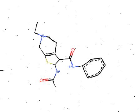 CCN1CCC2=C(C1)SC(NC(C)=O)C2C(=O)Nc1ccccc1